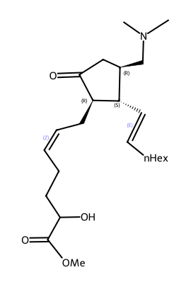 CCCCCC/C=C/[C@H]1[C@H](CN(C)C)CC(=O)[C@@H]1C/C=C\CCC(O)C(=O)OC